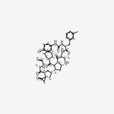 Cc1cccc(C[C@H](NC(=O)Nc2ccc(Cl)cc2)C(=O)N[C@H](C(=O)N2CCC[C@H]2C(=O)N2CCCC[C@H]2C(=O)N[C@@H](C)C(=O)N2C[C@H](C)C[C@@]23CC3=O)[C@H](C)O)c1